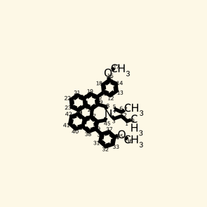 CCCC[N+]1(CCC)Cc2c(-c3cccc(OC)c3)cc3ccccc3c2-c2c(c(-c3cccc(OC)c3)cc3ccccc23)C1